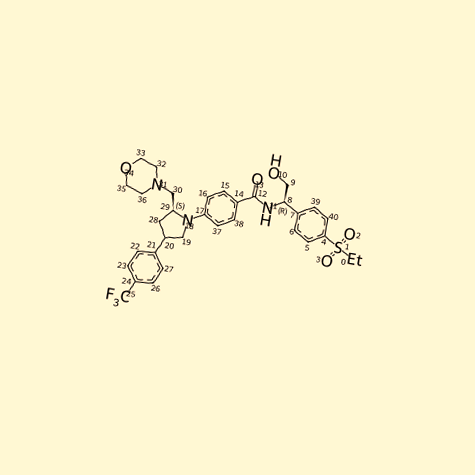 CCS(=O)(=O)c1ccc([C@H](CO)NC(=O)c2ccc(N3CC(c4ccc(C(F)(F)F)cc4)C[C@H]3CN3CCOCC3)cc2)cc1